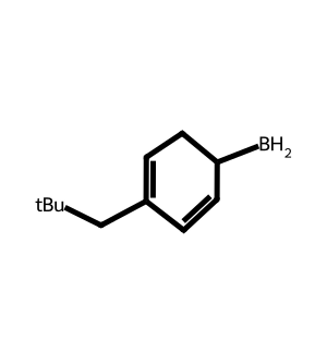 BC1C=CC(CC(C)(C)C)=CC1